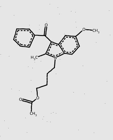 COc1ccc2c(c1)c(C(=O)c1ccccc1)c(C)n2CCCCOC(C)=O